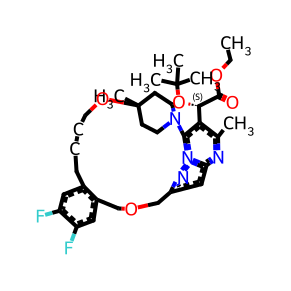 CCOC(=O)[C@@H](OC(C)(C)C)c1c(C)nc2cc3nn2c1N1CCC(C)(CC1)OCCCCc1cc(F)c(F)cc1COC3